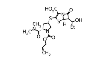 C=CCOC(=O)N1C[C@@H](SC2=C(C(=O)O)N3C(=O)[C@@H]([C@@H](O)CC)[C@H]3S2)C[C@H]1C(=O)N(C)C